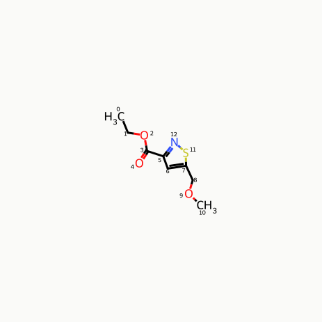 CCOC(=O)c1cc(COC)sn1